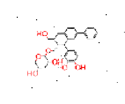 COc1cc(C2c3cc(-c4ccccc4)ccc3CC(CO)[C@H]2CO[C@@H]2OC[C@@H](O)C[C@H]2O)ccc1O